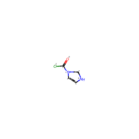 O=C(Cl)N1C=CNC1